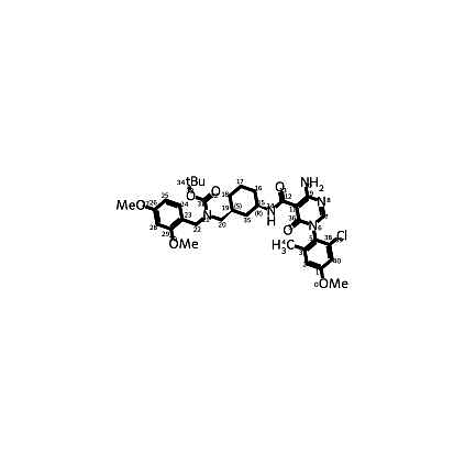 COc1cc(C)c(-n2cnc(N)c(C(=O)N[C@@H]3CCC[C@H](CN(Cc4ccc(OC)cc4OC)C(=O)OC(C)(C)C)C3)c2=O)c(Cl)c1